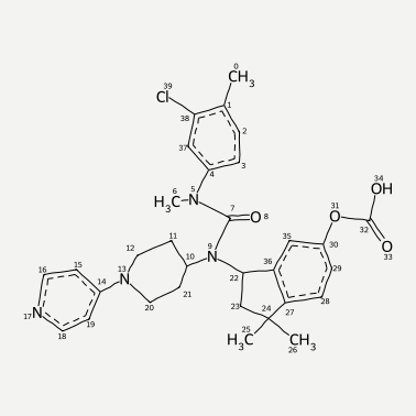 Cc1ccc(N(C)C(=O)N(C2CCN(c3ccncc3)CC2)C2CC(C)(C)c3ccc(OC(=O)O)cc32)cc1Cl